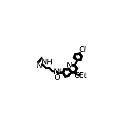 CCOc1cc(-c2ccc(Cl)cc2)nc2cc(C(=O)NCCCc3ncc[nH]3)ccc12